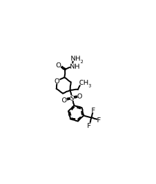 CCC1(S(=O)(=O)c2cccc(C(F)(F)F)c2)CCOC(C(=O)NN)C1